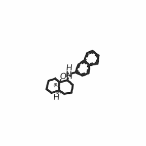 O[C@]12CCCC[C@@H]1CCCC2Nc1ccc2ccccc2c1